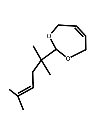 CC(C)=CCC(C)(C)C1OCC=CCO1